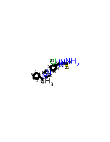 CC(c1ccccc1)N1CCN(c2ccc(C=NNC(N)=S)c(Cl)c2)CC1